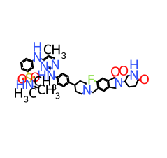 Cc1cnc(Nc2ccc(C3CCN(Cc4cc5c(cc4F)C(=O)N(C4CCC(=O)NC4=O)C5)CC3)cc2)nc1Nc1cccc(S(=O)(=O)NC(C)(C)C)c1